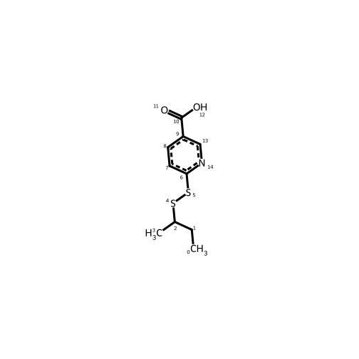 CCC(C)SSc1ccc(C(=O)O)cn1